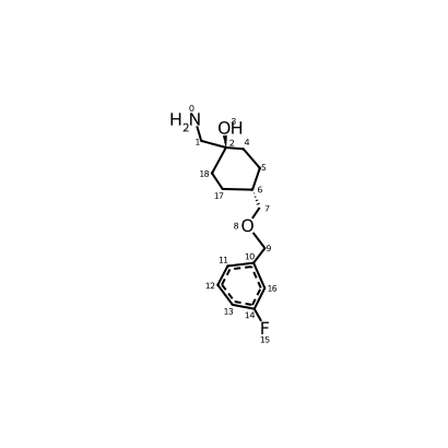 NC[C@]1(O)CC[C@H](COCc2cccc(F)c2)CC1